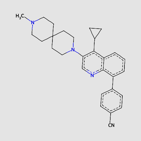 CN1CCC2(CC1)CCN(c1cnc3c(-c4ccc(C#N)cc4)cccc3c1C1CC1)CC2